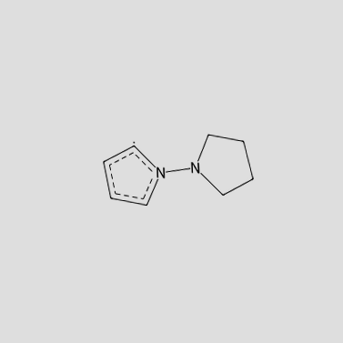 [c]1cccn1N1CCCC1